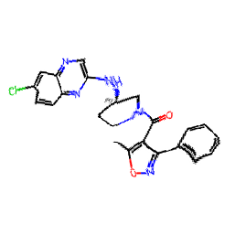 Cc1onc(-c2ccccc2)c1C(=O)N1CC[C@@H](Nc2cnc3cc(Cl)ccc3n2)C1